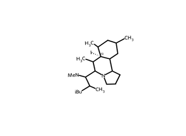 CCC(C)C(C)C(NC)C1C(C)[C@@]2(I)C(C)CC(C)CC2C2CCCN21